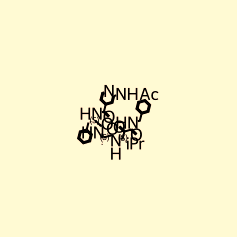 CC(=O)Nc1cc(C(=O)N[C@@H](Cc2ccccc2)C(=O)N[C@@H](C)C(=O)N[C@H](C(=O)C(=O)NCc2ccccc2)C(C)C)ccn1